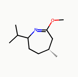 COC1=NC(C(C)C)CC[C@@H](C)C1